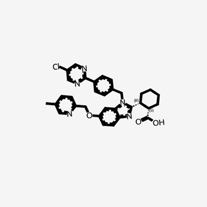 Cc1ccc(COc2ccc3nc([C@@H]4CCCC[C@@H]4C(=O)O)n(Cc4ccc(-c5ncc(Cl)cn5)cc4)c3c2)nc1